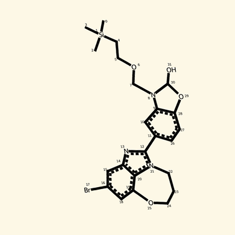 C[Si](C)(C)CCOCN1c2cc(-c3nc4cc(Br)cc5c4n3CCCO5)ccc2OC1O